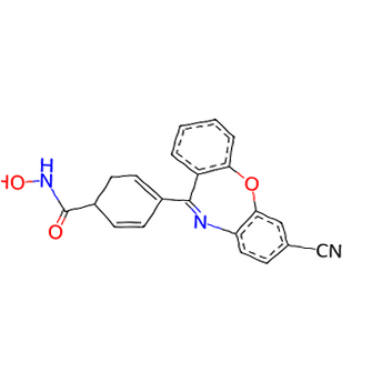 N#Cc1ccc2c(c1)Oc1ccccc1C(C1=CCC(C(=O)NO)C=C1)=N2